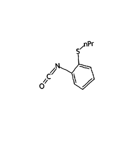 CCCSc1ccccc1N=C=O